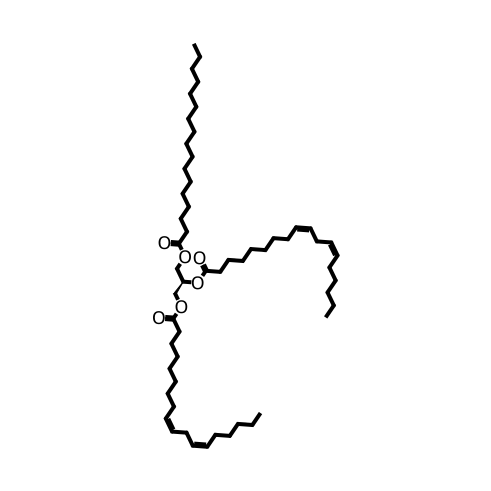 CCCCC/C=C\C/C=C\CCCCCCCC(=O)OC[C@@H](COC(=O)CCCCCCCCCCCCCCCC)OC(=O)CCCCCCC/C=C\C/C=C\CCCCC